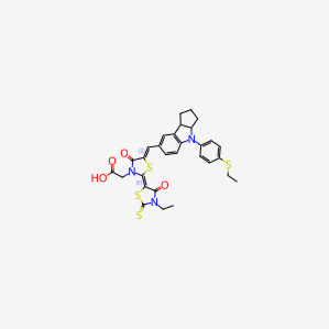 CCSc1ccc(N2c3ccc(/C=c4\s/c(=C5/SC(=S)N(CC)C5=O)n(CC(=O)O)c4=O)cc3C3CCCC32)cc1